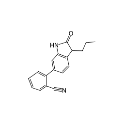 CCCC1C(=O)Nc2cc(-c3ccccc3C#N)ccc21